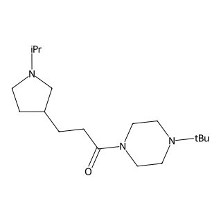 CC(C)N1CCC(CCC(=O)N2CCN(C(C)(C)C)CC2)C1